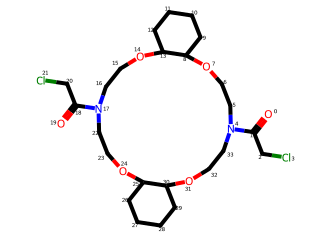 O=C(CCl)N1CCOC2CCCCC2OCCN(C(=O)CCl)CCOC2CCCCC2OCC1